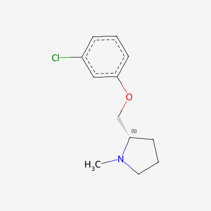 CN1CCC[C@H]1COc1cccc(Cl)c1